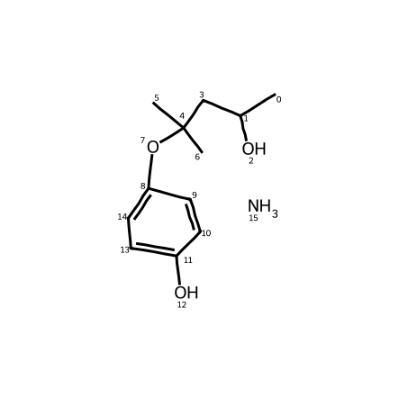 CC(O)CC(C)(C)Oc1ccc(O)cc1.N